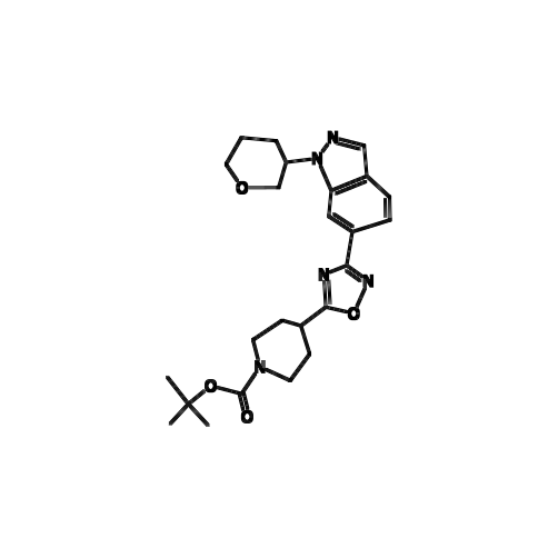 CC(C)(C)OC(=O)N1CCC(c2nc(-c3ccc4cnn(C5CCCOC5)c4c3)no2)CC1